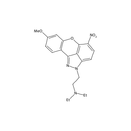 CCN(CC)CCn1nc2c3c(c([N+](=O)[O-])ccc31)Oc1cc(OC)ccc1-2